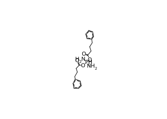 N[PH](N)(OC(=O)CCCc1ccccc1)OC(=O)CCCc1ccccc1